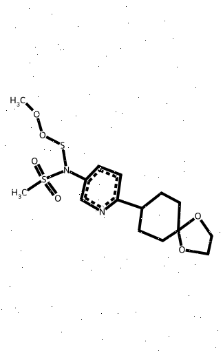 COOSN(c1ccc(C2CCC3(CC2)OCCO3)nc1)S(C)(=O)=O